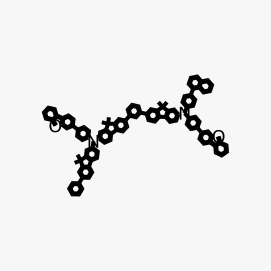 CC1(C)c2cc(-c3cccc(-c4ccc5c(c4)C(C)(C)c4cc(N(c6ccc(-c7ccc8c(c7)oc7ccccc78)cc6)c6ccc7c(c6)C(C)(C)c6cc(-c8ccccc8)ccc6-7)ccc4-5)c3)ccc2-c2ccc(N(c3ccc(-c4ccc5c(c4)oc4ccccc45)cc3)c3ccc(-c4cccc5ccccc45)cc3)cc21